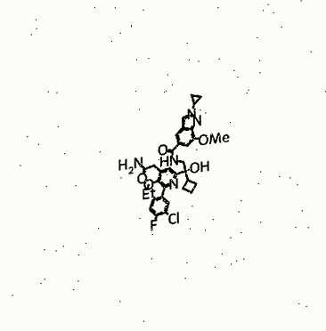 CCOc1c(CC(N)=O)cc([C@@](O)(CNC(=O)c2cc(OC)c3nn(C4CC4)cc3c2)C2CCC2)nc1-c1ccc(F)c(Cl)c1